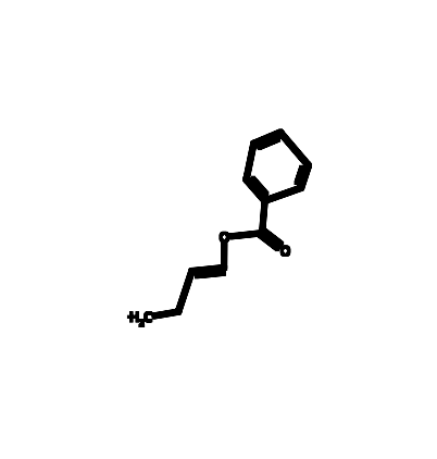 [CH2]CC=COC(=O)c1ccccc1